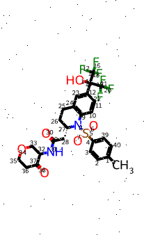 Cc1ccc(S(=O)(=O)N2c3ccc(C(O)(C(F)(F)F)C(F)(F)F)cc3CC[C@H]2CC(=O)NC2COCCC2=O)cc1